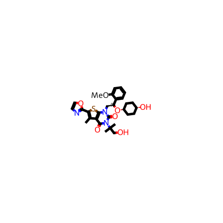 COc1ccccc1[C@H](Cn1c(=O)n(C(C)(C)CO)c(=O)c2c(C)c(-c3ncco3)sc21)O[C@H]1CC[C@@H](O)CC1